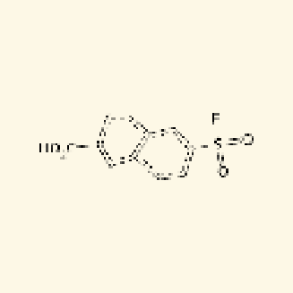 O=C(O)c1ccc2cc(S(=O)(=O)F)ccc2c1